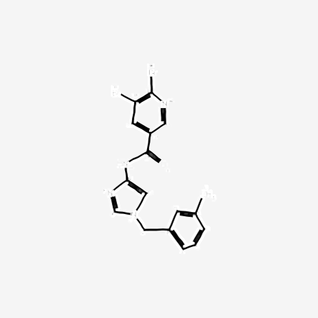 Cc1cccc(Cn2cnc(NC(=O)c3cnc(Br)c(Br)c3)c2)c1